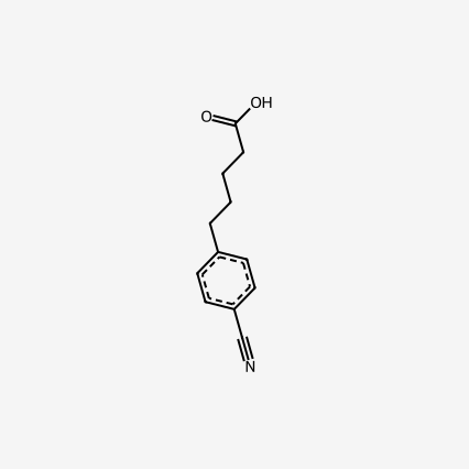 N#Cc1ccc(CCCCC(=O)O)cc1